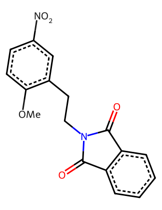 COc1ccc([N+](=O)[O-])cc1CCN1C(=O)c2ccccc2C1=O